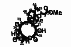 COC(=O)CCO[C@H]1[C@H](O[C@@H]2[C@@H](C)[C@H](O)[C@@H](C)C(=O)O[C@@H]3C(C)[C@@]34OC(=O)N[C@@H]4[C@@H](C)C(=O)[C@H](C)C[C@]2(C)OC)O[C@H](C)C[C@@H]1N(C)C